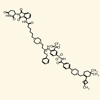 CC1(C)CCC(CN2CCN(c3ccc(C(=O)NS(=O)(=O)c4ccc(N[C@H](CCN5CCN(CCCCCC(=O)Nc6cccc7c6C(=O)N(C6CCC(=O)NC6=O)C7=O)CC5)CSc5ccccc5)c(S(=O)(=O)C(F)(F)F)c4)cc3)CC2)=C(C23CC(C)(C2)C3)C1